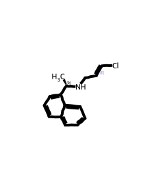 C[C@@H](NC/C=C/Cl)c1cccc2ccccc12